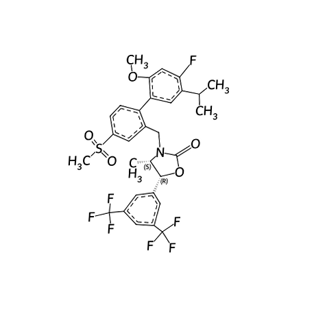 COc1cc(F)c(C(C)C)cc1-c1ccc(S(C)(=O)=O)cc1CN1C(=O)O[C@H](c2cc(C(F)(F)F)cc(C(F)(F)F)c2)[C@@H]1C